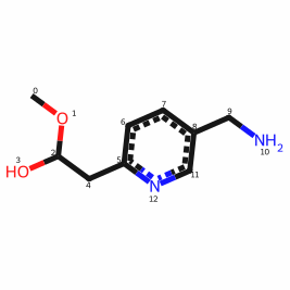 COC(O)Cc1ccc(CN)cn1